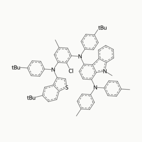 Cc1ccc(N(c2ccc(C)cc2)c2ccc(N(c3ccc(C(C)(C)C)cc3)c3cc(C)cc(N(c4ccc(C(C)(C)C)cc4)c4csc5ccc(C(C)(C)C)cc45)c3Cl)c3c4ccccc4n(C)c23)cc1